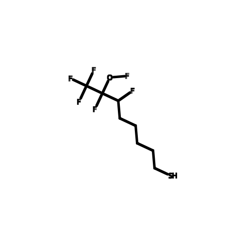 FOC(F)(C(F)CCCCCS)C(F)(F)F